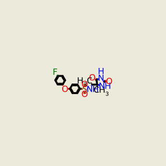 C[C@@H](NS(=O)(=O)c1ccc(Oc2ccc(F)cc2)cc1)[C@]1(C)NC(=O)NC1=O